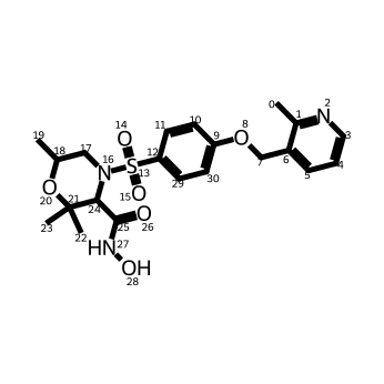 Cc1ncccc1COc1ccc(S(=O)(=O)N2CC(C)OC(C)(C)C2C(=O)NO)cc1